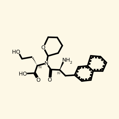 N[C@@H](Cc1ccc2ccccc2c1)C(=O)N(C1CCCCO1)[C@@H](CCO)C(=O)O